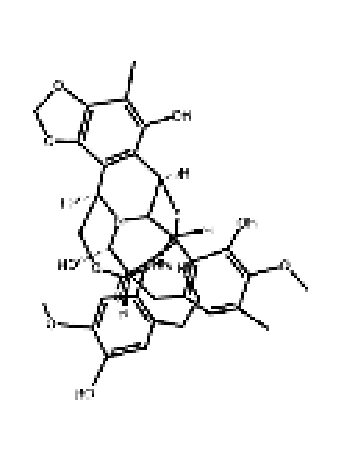 COc1cc2c(cc1O)CCN[C@]21CS[C@@H]2c3c(O)c(C)c4c(c3[C@H](COC1=O)N1C2[C@H]2N[C@H](Cc3cc(C)c(OC)c(O)c32)[C@@H]1O)OCO4